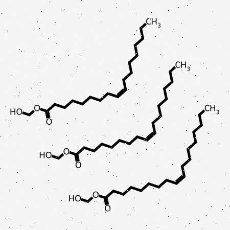 CCCCCCCC/C=C\CCCCCCCC(=O)OCO.CCCCCCCC/C=C\CCCCCCCC(=O)OCO.CCCCCCCC/C=C\CCCCCCCC(=O)OCO